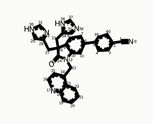 N#Cc1ccc(-c2ccc3c(c2)N(Cc2ccnc4ccccc24)C(=O)C3(Cc2c[nH]cn2)Cc2cnc[nH]2)cc1